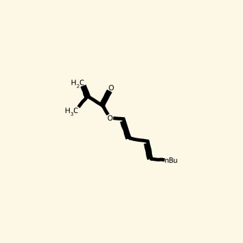 C=C(C)C(=O)OC=CC=CCCCC